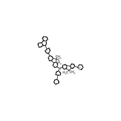 CC1(C)c2cc(-c3ccccc3)ccc2-c2ccc(N(c3ccc(-c4ccccc4)cc3)c3ccc4c(c3)C(C)(C)c3cc(-c5ccc(-c6cc7ccccc7c7ccccc67)cc5)ccc3-4)cc21